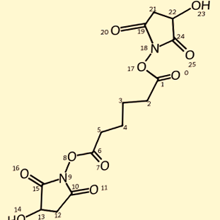 O=C(CCCCC(=O)ON1C(=O)CC(O)C1=O)ON1C(=O)CC(O)C1=O